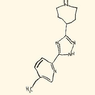 Cc1ccc(-c2nc(C3CCNCC3)n[nH]2)nc1